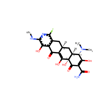 CCCNc1nc(F)c2c(c1O)C(=O)C1=C(O)[C@]3(O)C(=O)C(C(N)=O)=C(O)[C@@H](N(C)C)[C@@H]3C[C@@H]1C2